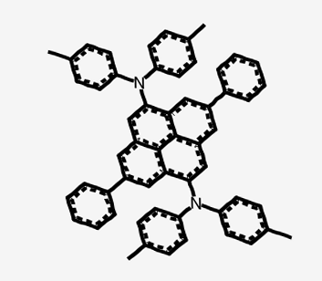 Cc1ccc(N(c2ccc(C)cc2)c2cc3cc(-c4ccccc4)cc4c(N(c5ccc(C)cc5)c5ccc(C)cc5)cc5cc(-c6ccccc6)cc2c5c34)cc1